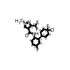 Cn1cc(C(=O)Nc2ccc(F)cc2C2C=CC(F)(Cl)C=C2)c(C(F)F)n1